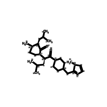 CC(C)C[C@H]1C(=O)N([C@@H](CC(C)C)C(=O)N2CCC(Cc3nccn3C)CC2)CCN1C